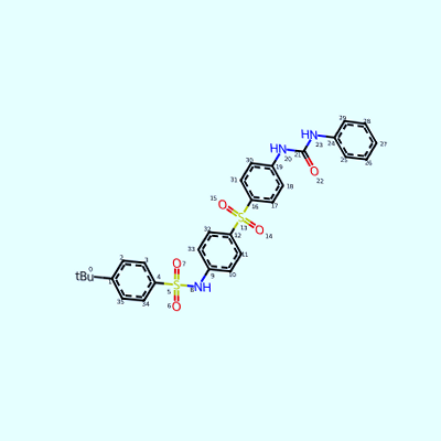 CC(C)(C)c1ccc(S(=O)(=O)Nc2ccc(S(=O)(=O)c3ccc(NC(=O)Nc4ccccc4)cc3)cc2)cc1